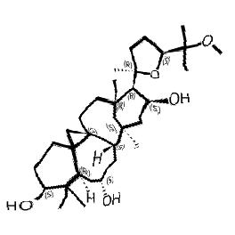 COC(C)(C)[C@@H]1CC[C@](C)([C@H]2[C@@H](O)C[C@@]3(C)[C@@H]4C[C@H](O)[C@H]5C(C)(C)[C@@H](O)CCC56C[C@@]46CC[C@]23C)O1